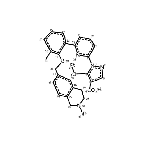 CCOc1c(C(=O)O)cnn1-c1cccc(-c2cccc(C)c2OCc2ccc3c(c2)CCN(C(C)C)C3)n1